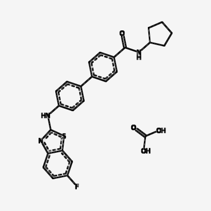 O=C(NC1CCCC1)c1ccc(-c2ccc(Nc3nc4ccc(F)cc4s3)cc2)cc1.O=C(O)O